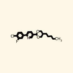 CCCCCC1COC(c2ccc(-c3ccc(Cl)c(F)c3)nc2)OC1